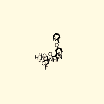 Cc1nn2ccc(OCc3ccccn3)cc2c1C(=O)NC(CO)(CCF)C(N)=O